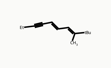 CCC#CC=CC=C(C)C(C)(C)C